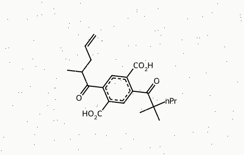 C=CCC(C)C(=O)c1cc(C(=O)O)c(C(=O)C(C)(C)CCC)cc1C(=O)O